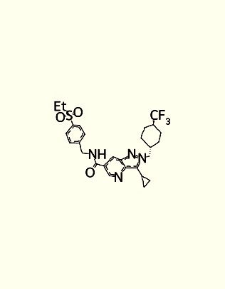 CCS(=O)(=O)c1ccc(CNC(=O)c2cnc3c(C4CC4)n(C[C@H]4CC[C@H](C(F)(F)F)CC4)nc3c2)cc1